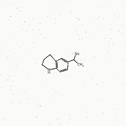 CC(S)c1ccc2c(c1)CCCN2